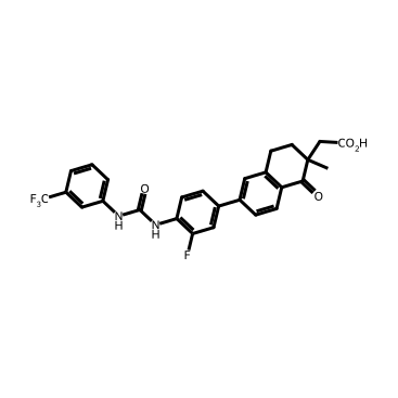 CC1(CC(=O)O)CCc2cc(-c3ccc(NC(=O)Nc4cccc(C(F)(F)F)c4)c(F)c3)ccc2C1=O